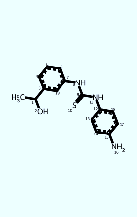 CC(O)c1cccc(NC(=S)Nc2ccc(N)cc2)c1